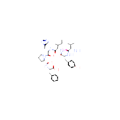 CCC(C)[C@H](NC(=O)[C@H](Cc1ccc(O)cc1)NC(=O)[C@@H](N)C(C)C)C(=O)N[C@@H](Cc1cnc[nH]1)C(=O)N1CCC[C@H]1C(=O)N[C@@H](Cc1ccccc1)C(=O)O